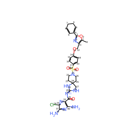 Cc1oc(C2=CCCC=C2)nc1COc1ccc(S(=O)(=O)N2CCC3(CC2)CN/C(=N\C(=O)c2nc(Cl)c(N)nc2N)N3)cc1